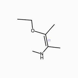 CCO/C(C)=C(/C)NC